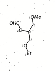 CCOCC(COC)O[C]=O